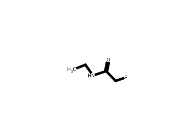 C[CH]NC(=O)CF